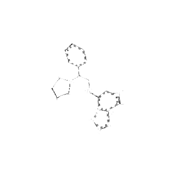 c1ccc(C(CNc2cncc3nnnn23)N2CCCC2)cc1